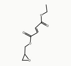 CCOC(=O)C=CC(=O)OCC1CO1